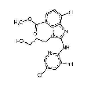 COC(=O)c1ccc(Cl)c2nc(Nc3ncc(Cl)cc3Cl)n(CCCO)c12